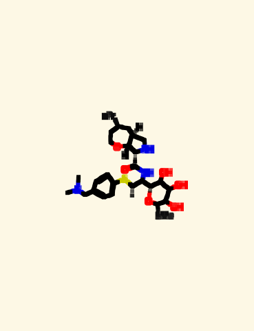 CCC[C@@H]1CCO[C@@H]2[C@H](CN[C@@H]2C(=O)N[C@H]([C@H](C)Sc2ccc(CN(C)C)cc2)[C@H]2OC(SC)[C@H](O)[C@H](O)C2O)C1